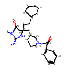 CN1C(=N)N[C@@](CCC2CCCCC2)(C[C@H]2CCCN(C(=O)c3ccccc3)C2)C1=O